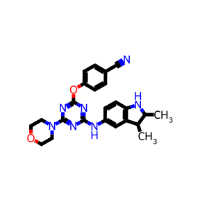 CC1Nc2ccc(Nc3nc(Oc4ccc(C#N)cc4)nc(N4CCOCC4)n3)cc2C1C